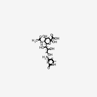 CC(=O)N[C@@H]1[C@@H](O)CC(O)(C(=O)O)O[C@H]1C(O)C(O)CO.Nc1cc[nH]c(=O)n1